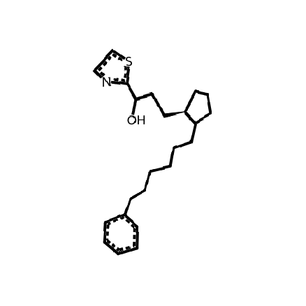 OC(CC[C@H]1CCCC1CCCCCCc1ccccc1)c1nccs1